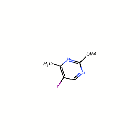 COc1ncc(I)c(C)n1